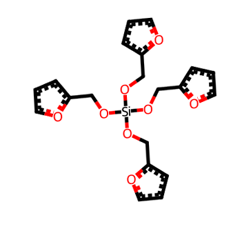 c1coc(CO[Si](OCc2ccco2)(OCc2ccco2)OCc2ccco2)c1